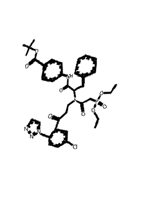 CCOP(=O)(CC(=O)N(CCC(=O)c1cc(Cl)ccc1-n1ccnn1)C(Cc1ccccc1)C(=O)Nc1ccc(C(=O)OC(C)(C)C)cc1)OCC